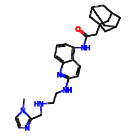 Cn1ccnc1CNCCNc1ccc2c(NC(=O)CC34CC5CC(CC(C5)C3)C4)cccc2n1